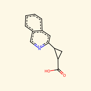 O=C(O)C1CC1c1cc2ccccc2cn1